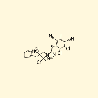 CC1=C(C#N)C(Cl)C(Cl)C(Sc2ncnn2CC(O)(Cc2ccccc2Cl)C2(Cl)CC2)=C1C#N